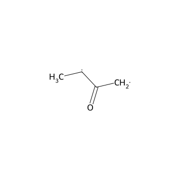 [CH2]C(=O)[CH]C